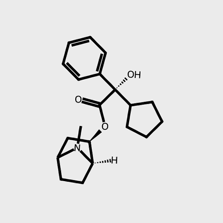 CN1C2CC[C@@H]1[C@H](OC(=O)[C@@](O)(c1ccccc1)C1CCCC1)C2